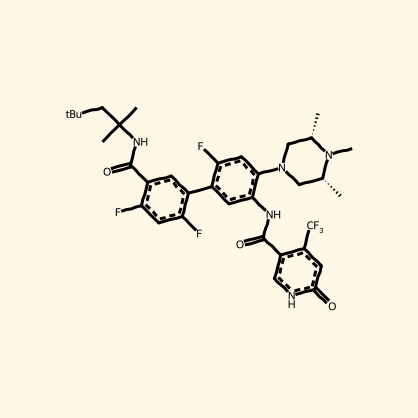 C[C@@H]1CN(c2cc(F)c(-c3cc(C(=O)NC(C)(C)CC(C)(C)C)c(F)cc3F)cc2NC(=O)c2c[nH]c(=O)cc2C(F)(F)F)C[C@H](C)N1C